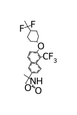 CC1(c2ccc3c(C(F)(F)F)c(OC4CCC(C(C)(F)F)CC4)ccc3c2)COC(=O)N1